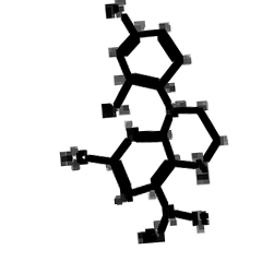 CCCCN(CC)c1nc(C)nc2c1NCCN2c1ccc(C(C)C)cc1Br